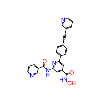 O=C(NO)c1cc(NC(=O)c2cccnc2)nc(-c2ccc(C#Cc3cccnc3)cc2)c1